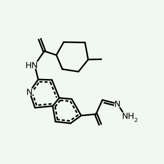 C=C(/C=N\N)c1ccc2cnc(NC(=C)C3CCC(C)CC3)cc2c1